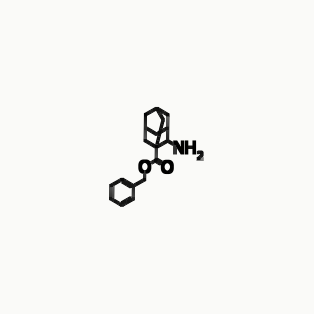 NC1C2CC3CC(C2)CC1(C(=O)OCc1ccccc1)C3